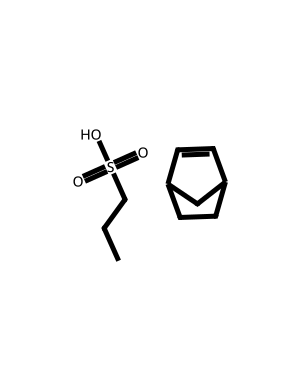 C1=CC2CCC1C2.CCCS(=O)(=O)O